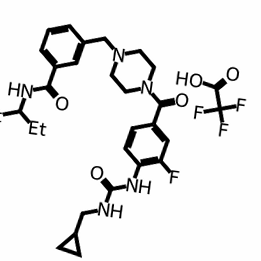 CCC(CC)NC(=O)c1cccc(CN2CCN(C(=O)c3ccc(NC(=O)NCC4CC4)c(F)c3)CC2)c1.O=C(O)C(F)(F)F